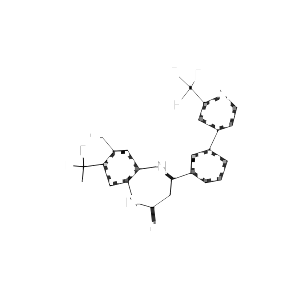 O=C1CC(c2cccc(-c3ccnc(C(F)(F)F)c3)c2)=Nc2cc(Cl)c(C(F)(F)F)cc2N1